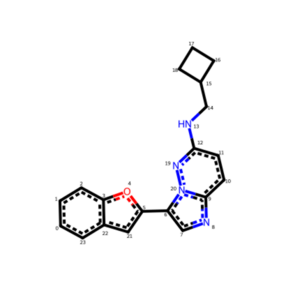 c1ccc2oc(-c3cnc4ccc(NCC5CCC5)nn34)cc2c1